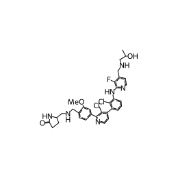 COc1cc(-c2nccc(-c3cccc(Nc4nccc(CNCC(C)O)c4F)c3Cl)c2Cl)ccc1CNCC1CCC(=O)N1